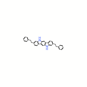 c1ccc(CCc2ccc3c(c2)[nH]c2cc4c(cc23)[nH]c2cc(CCc3ccccc3)ccc24)cc1